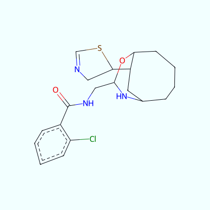 O=C(NCC1NC2CCCCC(O1)C(C1CN=CS1)C2)c1ccccc1Cl